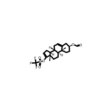 C[C@]12CC[C@H](OC=O)CC1=CC[C@@H]1[C@@H]2CC[C@]2(C)C(OS(=O)(=O)C(F)(F)F)=CC[C@@H]12